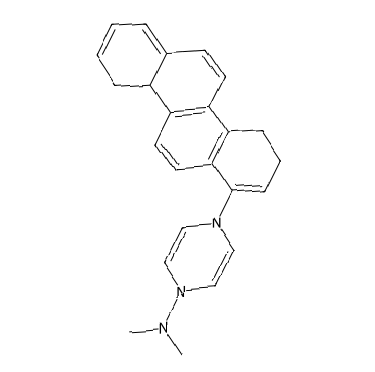 CN(C)N1C=CN(C2=CCCc3c2ccc2c3C=CC3=CC=CCC32)C=C1